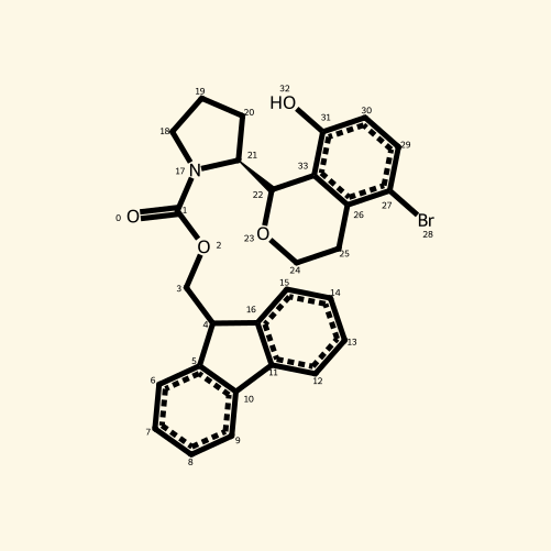 O=C(OCC1c2ccccc2-c2ccccc21)N1CCC[C@H]1C1OCCc2c(Br)ccc(O)c21